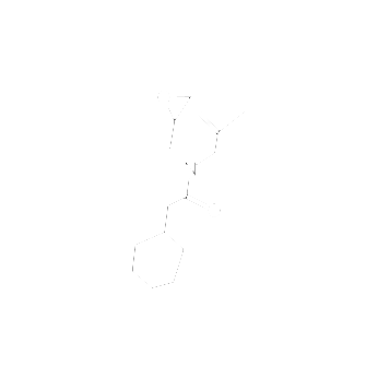 C=C(C)CN(CC1CO1)C(=O)CC1CCCCC1